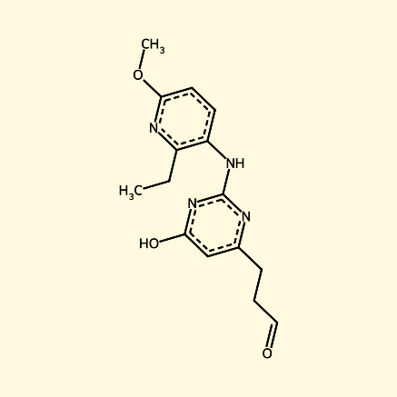 CCc1nc(OC)ccc1Nc1nc(O)cc(CCC=O)n1